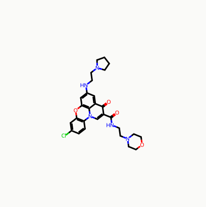 O=C(NCCN1CCOCC1)c1cn2c3c(cc(NCCN4CCCC4)cc3c1=O)Oc1cc(Cl)ccc1-2